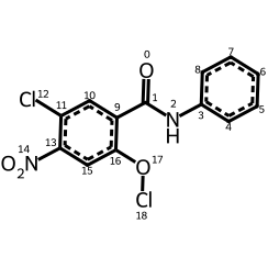 O=C(Nc1ccccc1)c1cc(Cl)c([N+](=O)[O-])cc1OCl